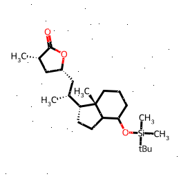 C[C@H](C[C@@H]1C[C@H](C)C(=O)O1)[C@H]1CCC2C(O[Si](C)(C)C(C)(C)C)CCC[C@]21C